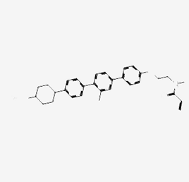 C=CC(=O)N(C)CCOc1ccc(-c2ccc(-c3ccc(C4CCC(CCCCC)CC4)cc3)c(C)c2)cc1